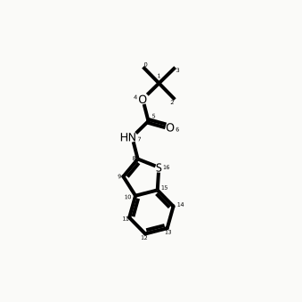 CC(C)(C)OC(=O)Nc1cc2ccccc2s1